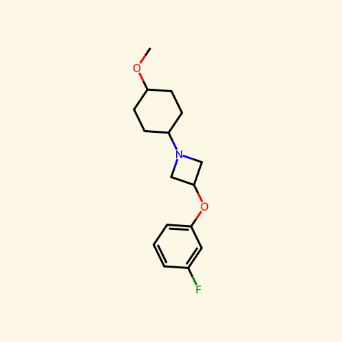 COC1CCC(N2CC(Oc3cccc(F)c3)C2)CC1